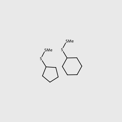 CSSC1CCCC1.CSSC1CCCCC1